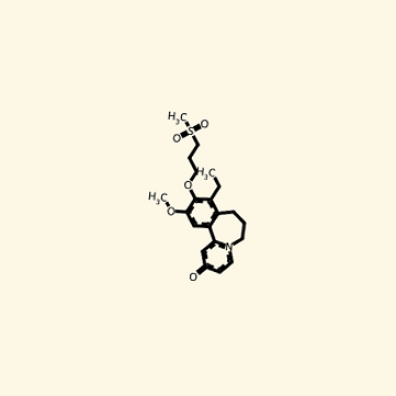 CCc1c2c(cc(OC)c1OCCCS(C)(=O)=O)-c1cc(=O)ccn1CCC2